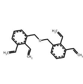 C=Cc1cccc(COCc2cccc(C=C)c2C=C)c1C=C